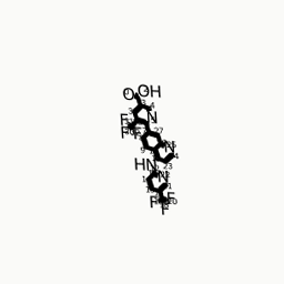 O=C(O)c1cnc(-c2ccc3c(Nc4ccc(C(F)(F)F)cn4)ccnc3c2)c(C(F)(F)F)c1